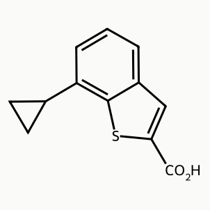 O=C(O)c1cc2cccc(C3CC3)c2s1